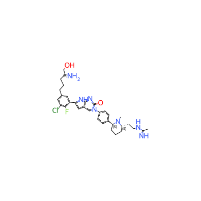 CC(=N)NCC[C@@H]1CCC[C@@H](c2ccc(-n3cc4cc(-c5cc(CCC[C@@H](N)CO)cc(Cl)c5F)[nH]c4nc3=O)cc2)N1C